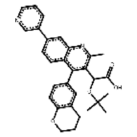 Cc1nc2cc(-c3cccnc3)ccc2c(-c2ccc3c(c2)CCCO3)c1C(OC(C)(C)C)C(=O)O